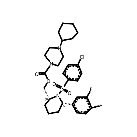 O=C(OC[C@H]1CCC[C@@H](c2ccc(F)c(F)c2)N1S(=O)(=O)c1ccc(Cl)cc1)N1CCN(C2CCCCC2)CC1